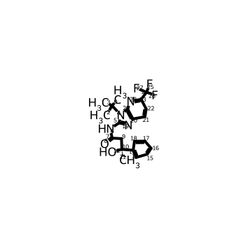 CC(C)(C)n1c(NC(=O)C[C@](C)(O)c2ccccc2)nc2ccc(C(F)(F)F)nc21